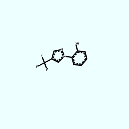 Oc1ccccc1-n1cc(C(F)(F)F)cn1